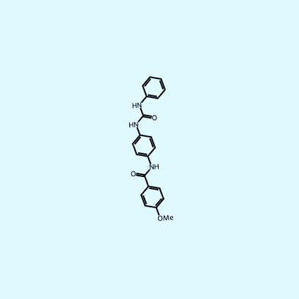 COc1ccc(C(=O)Nc2ccc(NC(=O)Nc3ccccc3)cc2)cc1